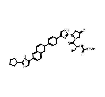 COC(=O)N[C@H](C(=O)N1CC(=O)C[C@H]1c1nc(-c2ccc(-c3ccc4cc(-c5cnc(C6CCCC6)[nH]5)ccc4c3)cc2)c[nH]1)C(C)C